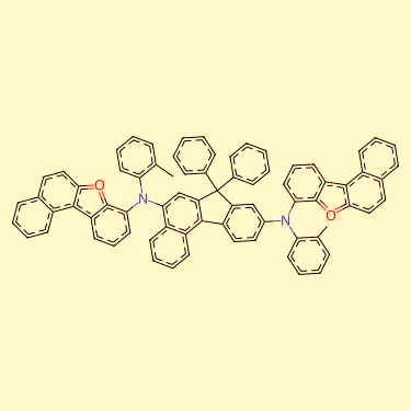 Cc1ccccc1N(c1ccc2c(c1)C(c1ccccc1)(c1ccccc1)c1cc(N(c3ccccc3C)c3cccc4c3oc3ccc5ccccc5c34)c3ccccc3c1-2)c1cccc2c1oc1ccc3ccccc3c12